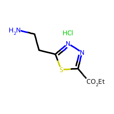 CCOC(=O)c1nnc(CCN)s1.Cl